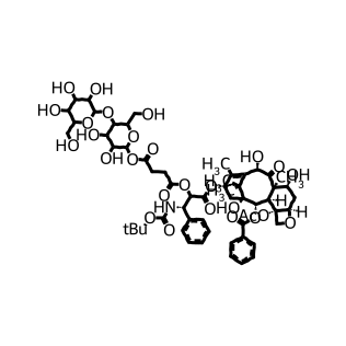 CC(=O)O[C@@]12CO[C@@H]1C[C@H](O)[C@@]1(C)C(=O)[C@H](O)C3=C(C)[C@@H](OC(=O)C(OC(=O)CCC(=O)OC4OC(CO)C(OC5OC(CO)C(O)C(O)C5O)C(O)C4O)[C@@H](NC(=O)OC(C)(C)C)c4ccccc4)C[C@@](O)([C@@H](OC(=O)c4ccccc4)[C@H]21)C3(C)C